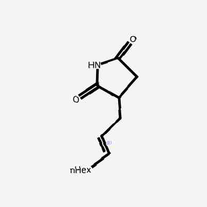 CCCCCC/C=C/CC1CC(=O)NC1=O